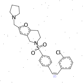 O=S(=O)(c1ccc(/C=C\c2cccc(Cl)c2)cc1)N1CCc2oc(CN3CCCC3)cc2C1